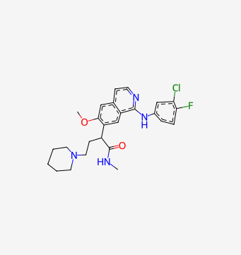 CNC(=O)C(CCN1CCCCC1)c1cc2c(Nc3ccc(F)c(Cl)c3)nccc2cc1OC